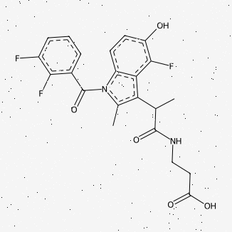 Cc1c(C(C)C(=O)NCCC(=O)O)c2c(F)c(O)ccc2n1C(=O)c1cccc(F)c1F